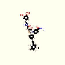 [2H]c1c([2H])c([2H])c(C#Cc2ccc([C@@H]3S[C@H](CC(=O)NCCc4ccc(O)c(O)c4)C(=O)N3c3cccc(C(N)=O)c3)cc2)c([2H])c1[2H]